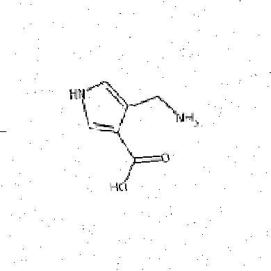 NCc1c[nH]cc1C(=O)O